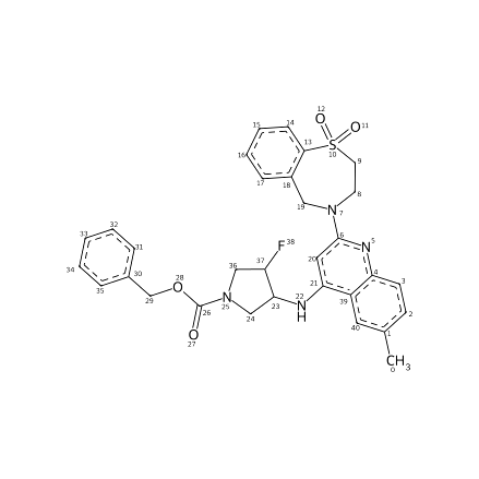 Cc1ccc2nc(N3CCS(=O)(=O)c4ccccc4C3)cc(NC3CN(C(=O)OCc4ccccc4)CC3F)c2c1